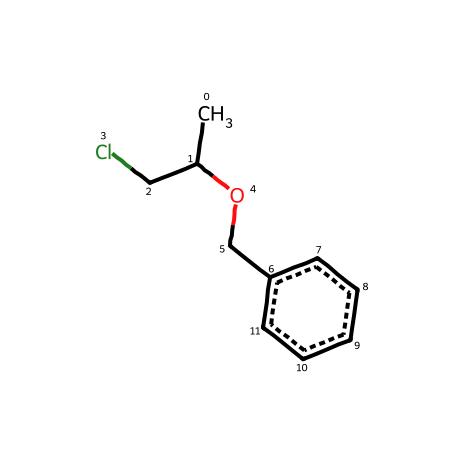 CC(CCl)OCc1ccccc1